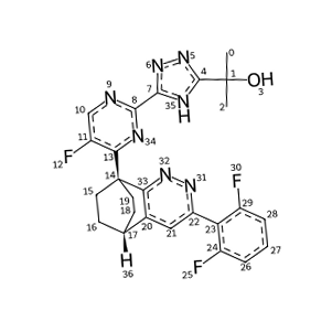 CC(C)(O)c1nnc(-c2ncc(F)c([C@]34CC[C@H](CC3)c3cc(-c5c(F)cccc5F)nnc34)n2)[nH]1